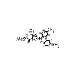 CSNC(=O)c1nc(N(Cc2ccc(P)cc2)c2ccc(C(F)(F)F)nc2)sc1C